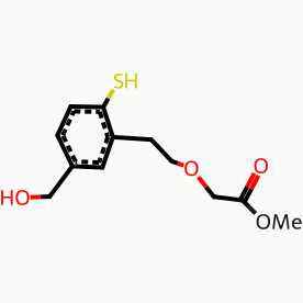 COC(=O)COCCc1cc(CO)ccc1S